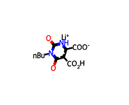 CCCCn1c(=O)[nH]c(C(=O)[O-])c(C(=O)O)c1=O.[Li+]